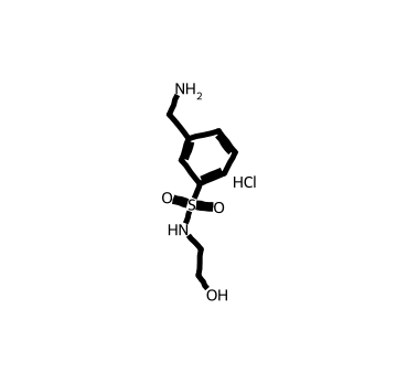 Cl.NCc1cccc(S(=O)(=O)NCCO)c1